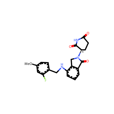 COc1ccc(CNc2cccc3c2CN([C@@H]2CCC(=O)NC2=O)C3=O)c(F)c1